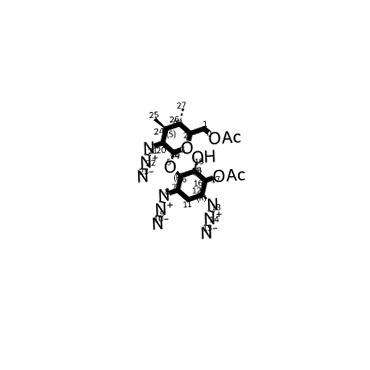 CC(=O)OCC1O[C@H](O[C@@H]2C(N=[N+]=[N-])C[C@@H](N=[N+]=[N-])C(OC(C)=O)[C@H]2O)C(N=[N+]=[N-])[C@@H](C)[C@@H]1C